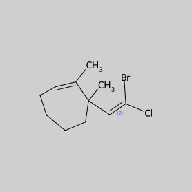 CC1=CCCCCC1(C)/C=C(/Cl)Br